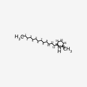 CCCCCCCCCCCCC[C@H]1CCC[C@@H](C)N1